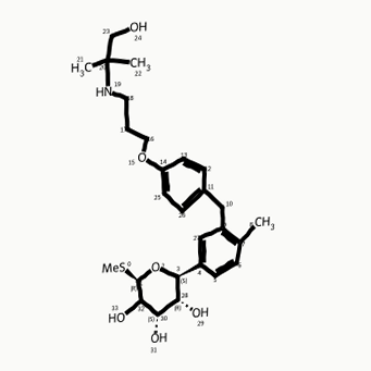 CS[C@H]1O[C@@H](c2ccc(C)c(Cc3ccc(OCCCNC(C)(C)CO)cc3)c2)[C@H](O)[C@H](O)C1O